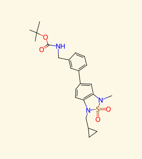 CN1c2cc(-c3cccc(CNC(=O)OC(C)(C)C)c3)ccc2N(CC2CC2)S1(=O)=O